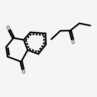 CCC(=O)CC.O=C1C=CC(=O)c2ccccc21